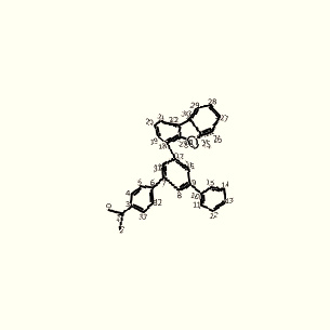 CC(C)c1ccc(-c2cc(-c3ccccc3)cc(-c3cccc4c3oc3ccccc34)c2)cc1